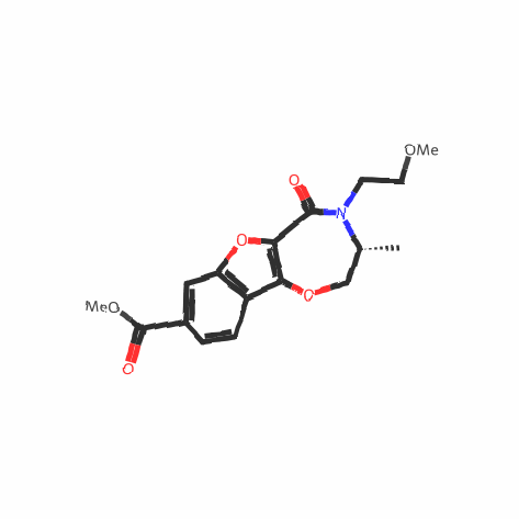 COCCN1C(=O)c2oc3cc(C(=O)OC)ccc3c2OC[C@H]1C